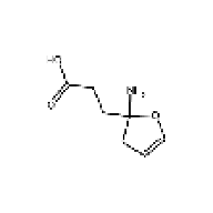 NC1(CCC(=O)O)CC=CO1